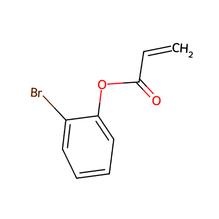 C=CC(=O)Oc1ccccc1Br